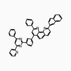 c1ccc(-c2cc(-c3ccccn3)nc(-c3cccc(-c4cc(-c5ccccc5)nc5c4ccc4ccc(-c6ccc7ccccc7c6)nc45)c3)n2)cc1